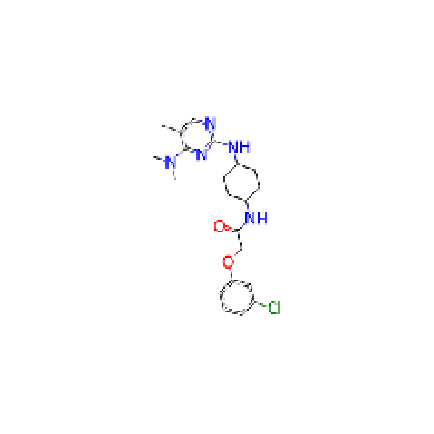 Cc1cnc(NC2CCC(NC(=O)COc3cccc(Cl)c3)CC2)nc1N(C)C